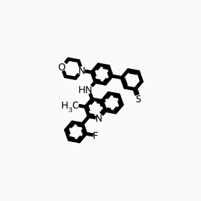 Cc1c(-c2ccccc2F)nc2ccccc2c1Nc1cc(C2=CC(=S)CC=C2)ccc1N1CCOCC1